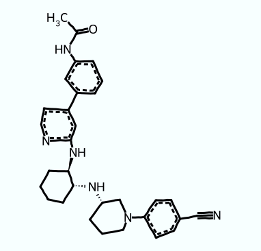 CC(=O)Nc1cccc(-c2ccnc(N[C@@H]3CCCC[C@H]3N[C@H]3CCCN(c4ccc(C#N)cc4)C3)c2)c1